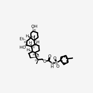 CC[C@H]1[C@@H](O)[C@@H]2[C@H](CC[C@]3(C)[C@@H]([C@H](C)COC(=O)NS(=O)(=O)c4ccc(C)cc4)CC[C@@H]23)[C@@]2(C)CC[C@@H](O)C[C@@H]12